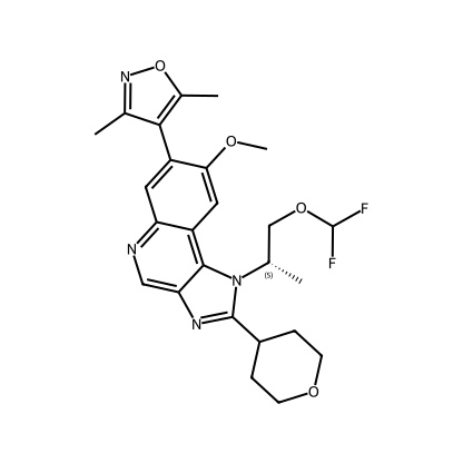 COc1cc2c(cc1-c1c(C)noc1C)ncc1nc(C3CCOCC3)n([C@@H](C)COC(F)F)c12